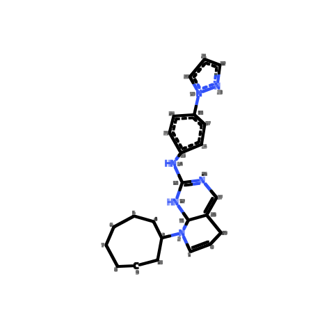 C1=CN(C2CCCCCCC2)C2NC(Nc3ccc(-n4cccn4)cc3)=NC=C2C1